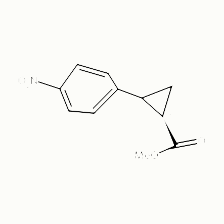 COC(=O)[C@@H]1CC1c1ccc([N+](=O)[O-])cc1